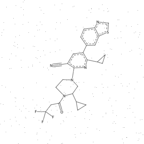 N#Cc1cc(-c2ccc3ncsc3c2)c(C2CC2)nc1N1CCN(C(=O)CC(F)(F)F)C(C2CC2)C1